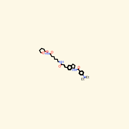 CCN(CC)c1ccc(C(=O)NC2CCc3cc(C=CC(=O)NCCCCCC(=O)NOC4CCCCO4)ccc32)cc1